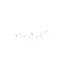 Cc1cccc2nc(C(=O)Nc3nc4cc(-c5ccc(C(F)(F)F)c(Cl)c5)ccc4[nH]3)cn12